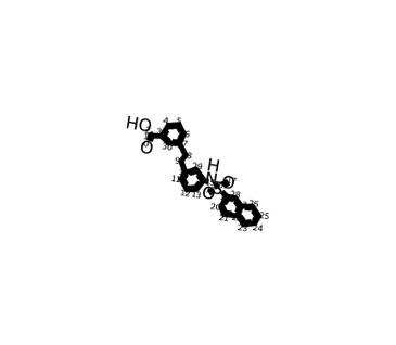 O=C(O)c1cccc(CCc2cccc(NS(=O)(=O)c3ccc4ccccc4c3)c2)c1